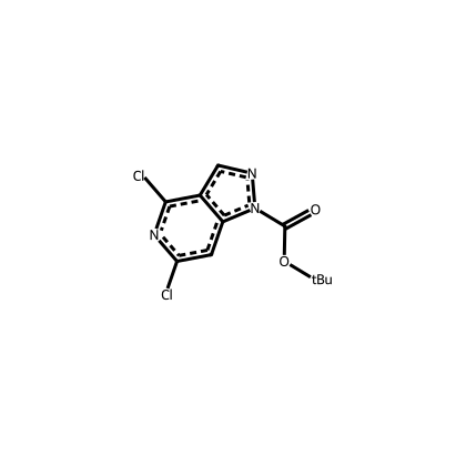 CC(C)(C)OC(=O)n1ncc2c(Cl)nc(Cl)cc21